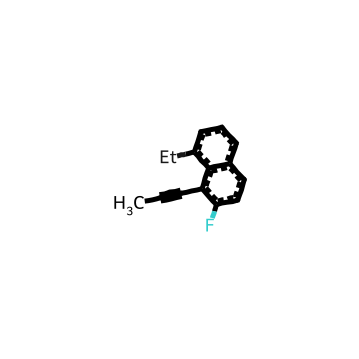 CC#Cc1c(F)ccc2cccc(CC)c12